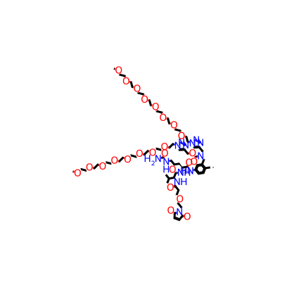 [CH2]c1ccc(NC(=O)[C@H](CCCNC(N)=O)NC(=O)[C@@H](NC(=O)CCOCCN2C(=O)C=CC2=O)C(C)C)cc1CN(Cc1cn(CCOCCOCCOCCOCCOCCOCCOCCOC)nn1)C(=O)OCc1cn(CCOCCOCCOCCOCCOCCOCCOCCOC)nn1